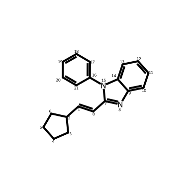 C(=C\C1CCCC1)/c1nc2ccccc2n1-c1ccccc1